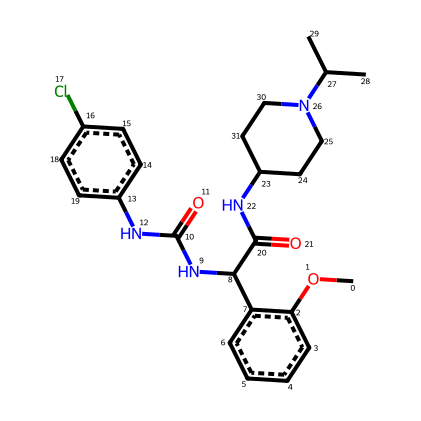 COc1ccccc1C(NC(=O)Nc1ccc(Cl)cc1)C(=O)NC1CCN(C(C)C)CC1